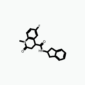 CN1C(=O)CC(C(=O)NC2Cc3ccccc3C2)c2cc(F)ccc21